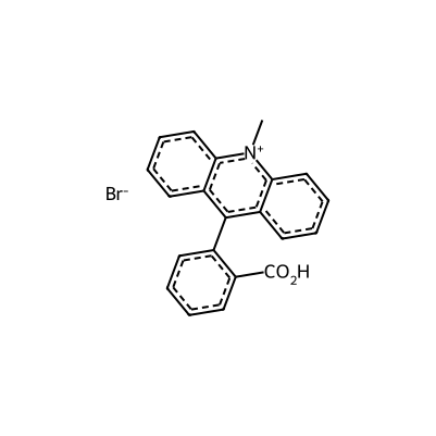 C[n+]1c2ccccc2c(-c2ccccc2C(=O)O)c2ccccc21.[Br-]